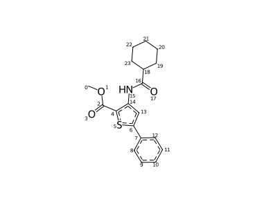 COC(=O)c1sc(-c2ccccc2)cc1NC(=O)C1CCCCC1